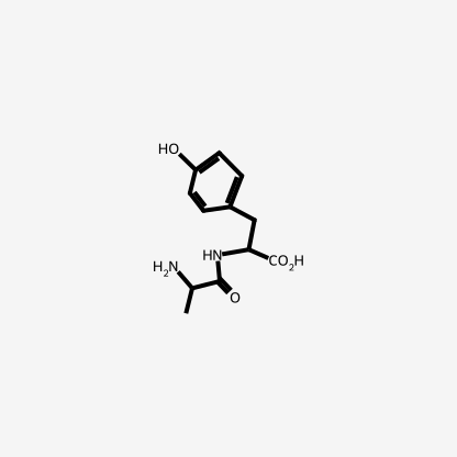 CC(N)C(=O)NC(Cc1ccc(O)cc1)C(=O)O